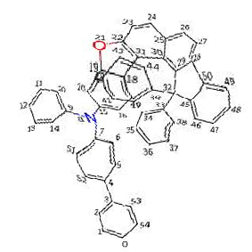 c1ccc(-c2ccc(N(c3ccccc3)c3ccc4c(c3)oc3ccc5ccc6c(c5c34)C(c3ccccc3)(c3ccccc3)c3ccccc3-6)cc2)cc1